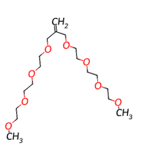 C=C(COCCOCCOCCOC)COCCOCCOCCOC